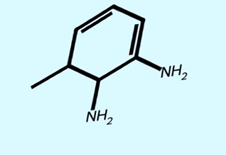 CC1C=CC=C(N)C1N